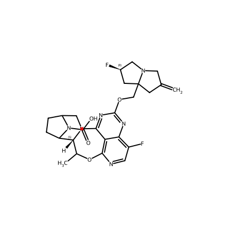 C=C1CN2C[C@H](F)CC2(COc2nc3c4c(ncc(F)c4n2)OC(C)[C@@H]2C4CCC(CN32)N4C(=O)O)C1